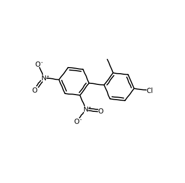 Cc1cc(Cl)ccc1-c1ccc([N+](=O)[O-])cc1[N+](=O)[O-]